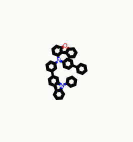 c1ccc(-c2ccc(N(c3cccc(-c4ccc5c6ccccc6n(-c6ccccc6)c5c4)c3)c3cccc4oc5ccccc5c34)cc2)cc1